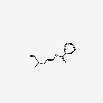 C=CC(C)CC=COC(=O)c1ccccc1